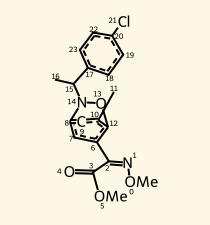 CON=C(C(=O)OC)c1cc2cc(C)c1ON2C(C)c1ccc(Cl)cc1